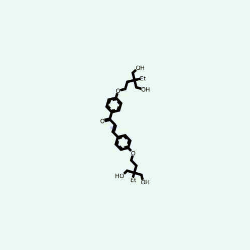 CCC(CO)(CO)CCOc1ccc(/C=C/C(=O)c2ccc(OCCC(CC)(CO)CO)cc2)cc1